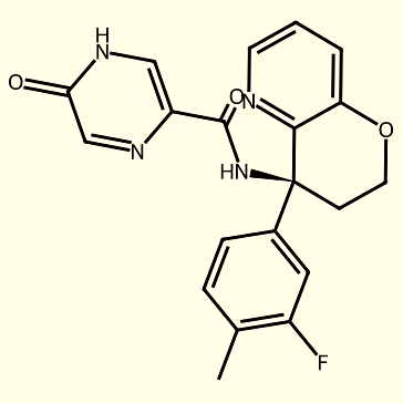 Cc1ccc([C@@]2(NC(=O)c3c[nH]c(=O)cn3)CCOc3cccnc32)cc1F